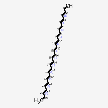 [CH]=C/C=C/C=C/C=C/C=C/C=C/C=C/C=C/C=C/C=C/C=C/C=C/C=C/C=C